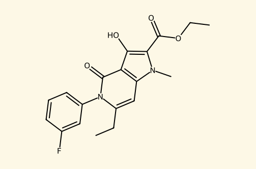 CCOC(=O)c1c(O)c2c(=O)n(-c3cccc(F)c3)c(CC)cc2n1C